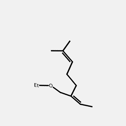 C/C=C(\CCC=C(C)C)COCC